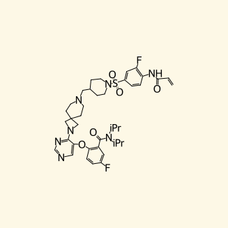 C=CC(=O)Nc1ccc(S(=O)(=O)N2CCC(CN3CCC4(CC3)CN(c3ncncc3Oc3ccc(F)cc3C(=O)N(C(C)C)C(C)C)C4)CC2)cc1F